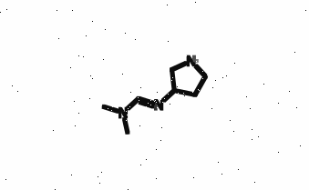 CN(C)C=NC1CC[N]C1